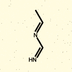 CC=NC=N